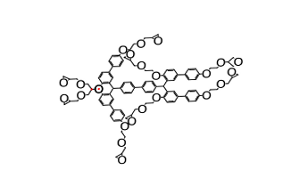 c1cc(-c2ccc(OCCOCC3CO3)c(C(c3ccc(-c4ccc(C(c5cc(-c6ccc(OCCOCC7CO7)cc6)ccc5OCCOCC5CO5)c5cc(-c6ccc(OCCOC7COC7)cc6)ccc5OCCOCC5CO5)cc4)cc3)c3cc(-c4ccc(OCCOCC5CO5)cc4)ccc3OCCOCC3CO3)c2)ccc1OCCOCC1CO1